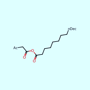 CCCCCCCCCCCCCCCCCC(=O)OC(=O)CC(C)=O